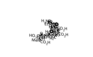 CCC(NC(=O)C(Cc1ccccc1)NC(=O)C(Cc1ccccc1)NC(=O)C(CC(=O)O)NC(=O)C(CC(=O)O)NC(=O)C(CC(=O)O)NC(=O)CNC(=O)CNC(=O)CNC(=O)C(CC(=O)O)NC(=O)C(CC(=O)O)NC)C(N)=O